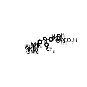 COC(=O)NC(C(=O)N1CCCC1c1nc2cc([C@H]3CCC(c4ccc5[nH]c(C6CCCN6C(=O)[C@@H](NC(=O)O)C(C)C)nc5c4)N3c3ccc(C(F)(F)F)cc3)ccc2[nH]1)C(C)C